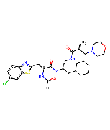 C=C(CN1CCOCC1)C(=O)NC[C@H](CC1CCCCC1)NC(=O)[C@H](Cc1nc2ccc(Cl)cc2s1)NC(=O)CC